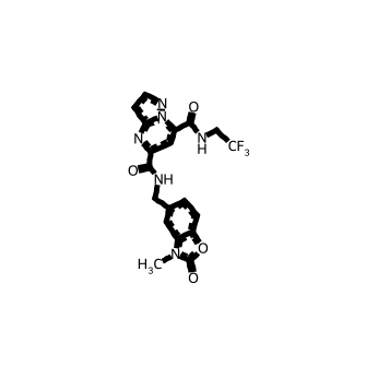 Cn1c(=O)oc2ccc(CNC(=O)c3cc(C(=O)NCC(F)(F)F)n4nccc4n3)cc21